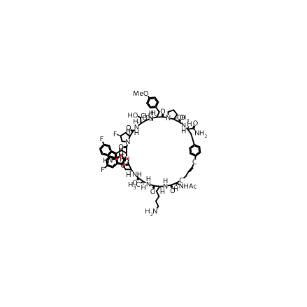 COc1ccc(C[C@@H]2NC(=O)[C@H]([C@@H](C)O)NC(=O)[C@@H]3C[C@H](F)CN3C(=O)[C@H](Cc3c[nH]c4ccc(F)cc34)NC(=O)[C@H](Cc3c[nH]c4ccc(F)cc34)NC(=O)[C@H](C)NC(=O)[C@H](CCCCN)NC(=O)[C@@H](NC(C)=O)CC/C=C/Cc3ccc(cc3)C[C@@H](C(N)=O)NC(=O)[C@]3(C)CCCN3C2=O)cc1